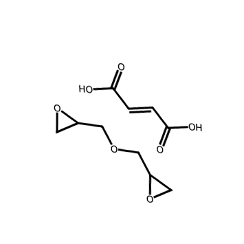 C(OCC1CO1)C1CO1.O=C(O)C=CC(=O)O